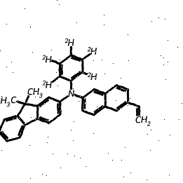 [2H]c1c([2H])c([2H])c(N(c2ccc3c(c2)C(C)(C)c2ccccc2-3)c2ccc3cc(C=C)ccc3c2)c([2H])c1[2H]